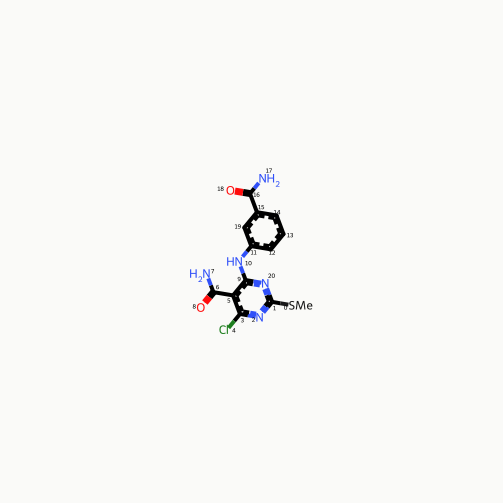 CSc1nc(Cl)c(C(N)=O)c(Nc2cccc(C(N)=O)c2)n1